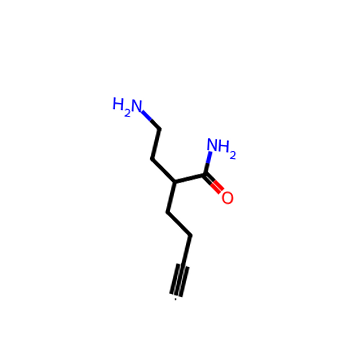 [C]#CCCC(CCN)C(N)=O